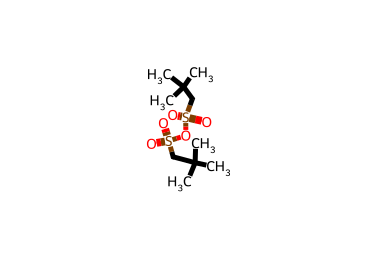 CC(C)(C)CS(=O)(=O)OS(=O)(=O)CC(C)(C)C